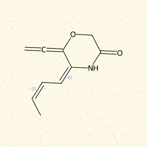 C=C=C1OCC(=O)N/C1=C/C=C\C